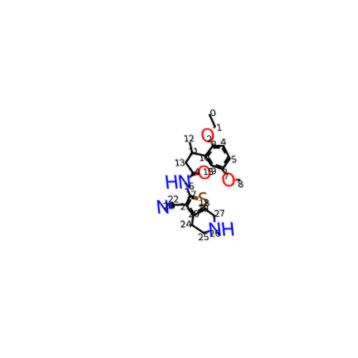 CCOc1ccc(OC)cc1C(C)CC(=O)Nc1sc2c(c1C#N)CCNC2